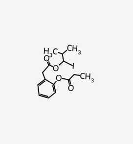 CCC(=O)Oc1ccccc1CC(=O)OC(I)C(C)C